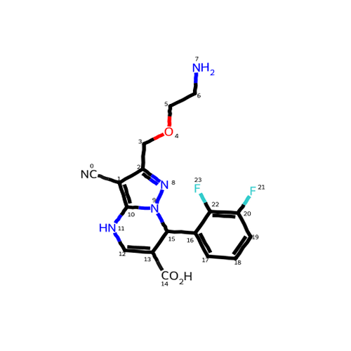 N#Cc1c(COCCN)nn2c1NC=C(C(=O)O)C2c1cccc(F)c1F